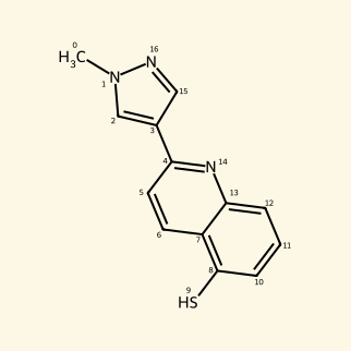 Cn1cc(-c2ccc3c(S)cccc3n2)cn1